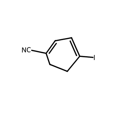 N#CC1=CC=C(I)CC1